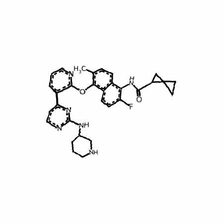 Cc1ccc2c(NC(=O)C3CC34CC4)c(F)ccc2c1Oc1ncccc1-c1ccnc(NC2CCCNC2)n1